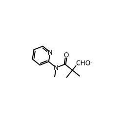 CN(C(=O)C(C)(C)[C]=O)c1ccccn1